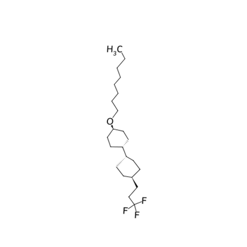 CCCCCCCCO[C@H]1CC[C@H]([C@H]2CC[C@H](CCC(F)(F)F)CC2)CC1